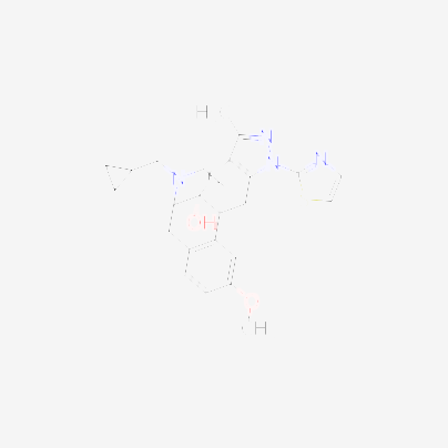 COc1ccc2c(c1)[C@@]13CCN(CC4CC4)C(C2)[C@@]1(O)Cc1c(C)nn(-c2nccs2)c1C3